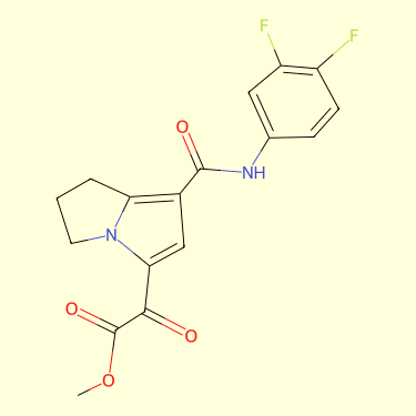 COC(=O)C(=O)c1cc(C(=O)Nc2ccc(F)c(F)c2)c2n1CCC2